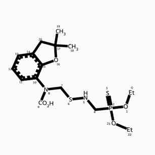 CCOP(=S)(CNSCN(C(=O)O)c1cccc2c1OC(C)(C)C2)OCC